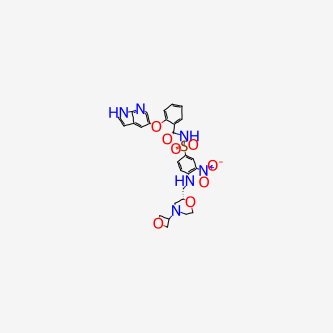 O=C(NS(=O)(=O)c1ccc(NC[C@H]2CN(C3COC3)CCO2)c([N+](=O)[O-])c1)c1ccccc1Oc1cnc2[nH]ccc2c1